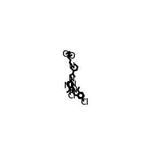 Cc1nn(C(C)c2ccc(Cl)cc2Cl)c2nc(N3CC(C4CCCN(CCCS(C)(=O)=O)C4)C3)cnc12